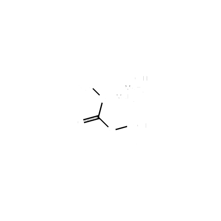 O=C(O)OC(=O)OC(=O)O.[CsH].[CsH].[MgH2].[MgH2]